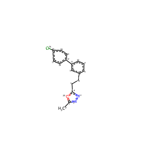 Cc1nnc(C[CH]c2cccc(-c3ccc(Cl)cc3)c2)o1